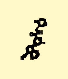 C[C@@H]1CN(c2ccc(C#N)c3nccnc23)C[C@H](C(=O)NC[C@H]2COCCN2C)O1